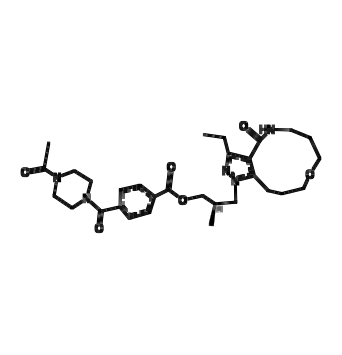 CCc1nn(C[C@@H](C)COC(=O)c2ccc(C(=O)N3CCN(C(C)=O)CC3)cc2)c2c1C(=O)NCCCOCCC2